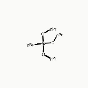 [CH2]CCC[Si](OCCC)(OCCC)OCCC